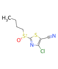 CCCC[S+]([O-])c1nc(Cl)c(C#N)s1